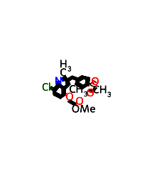 COC(=O)COc1ccc(Cl)c2nc(C)c(Cc3ccc(S(C)(=O)=O)cc3)c(C)c12